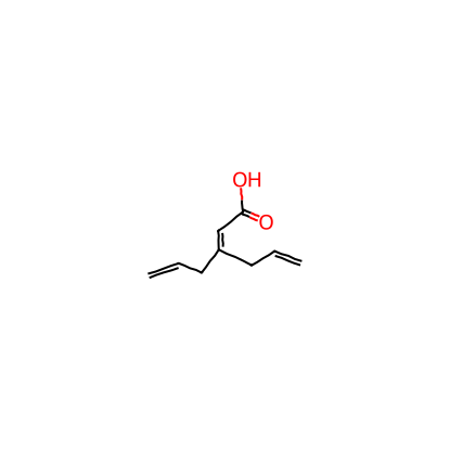 C=CCC(=CC(=O)O)CC=C